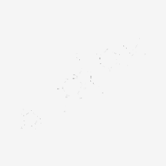 CCn1c(-c2ccc(NS(C)(=O)=O)cc2)c(N)c2ccc(OCCn3ccnc3)cc21